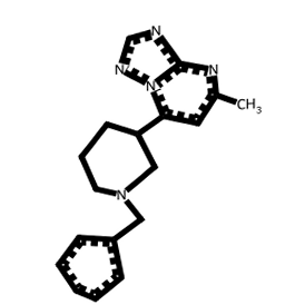 Cc1cc(C2CCCN(Cc3ccccc3)C2)n2ncnc2n1